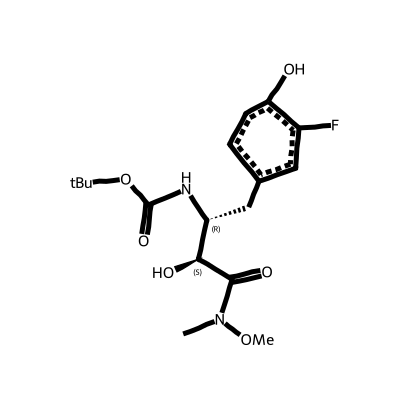 CON(C)C(=O)[C@@H](O)[C@@H](Cc1ccc(O)c(F)c1)NC(=O)OC(C)(C)C